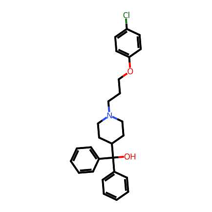 OC(c1ccccc1)(c1ccccc1)C1CCN(CCCOc2ccc(Cl)cc2)CC1